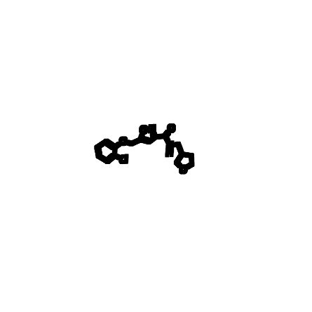 O=C(NCC1CCOC1)c1cc(COc2ccccc2Cl)on1